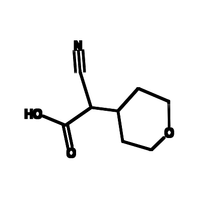 N#CC(C(=O)O)C1CCOCC1